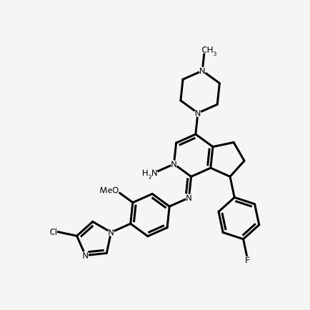 COc1cc(N=c2c3c(c(N4CCN(C)CC4)cn2N)CCC3c2ccc(F)cc2)ccc1-n1cnc(Cl)c1